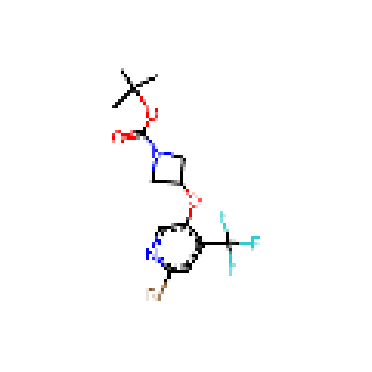 CC(C)(C)OC(=O)N1CC(Oc2cnc(Br)cc2C(F)(F)F)C1